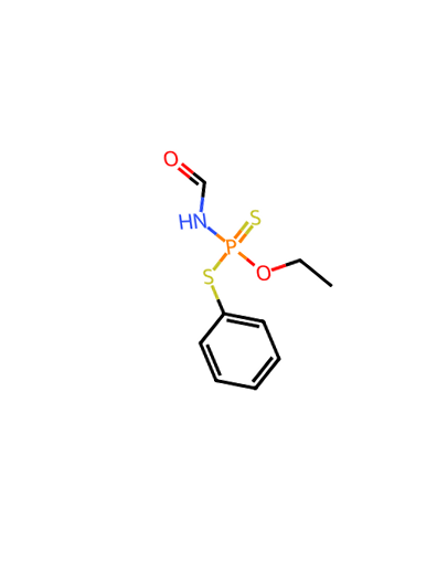 CCOP(=S)(NC=O)Sc1ccccc1